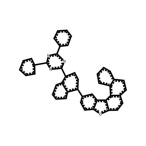 c1ccc(-c2nc(-c3ccccc3)nc(-c3ccc(-c4ccc5oc6ccc7ccc8ccccc8c7c6c5c4)c4ccccc34)n2)cc1